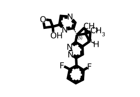 CC1(C)[C@H]2CC[C@]1(c1cncc(C3(O)COC3)n1)c1nnc(-c3c(F)cccc3F)cc12